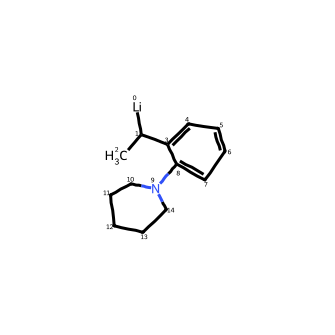 [Li][CH](C)c1ccccc1N1CCCCC1